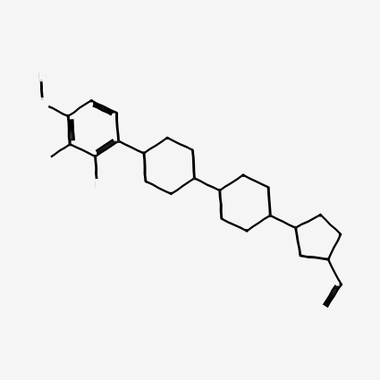 C=CC1CCC(C2CCC(C3CCC(c4ccc(OCC)c(F)c4F)CC3)CC2)C1